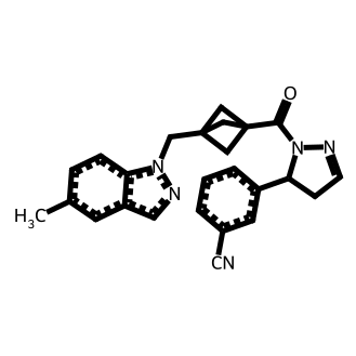 Cc1ccc2c(cnn2CC23CC(C(=O)N4N=CCC4c4cccc(C#N)c4)(C2)C3)c1